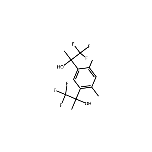 Cc1cc(C)c(C(C)(O)C(F)(F)F)cc1C(C)(O)C(F)(F)F